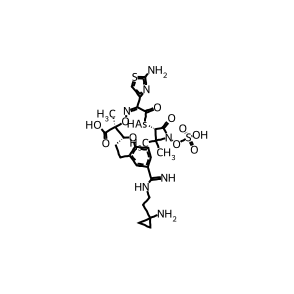 CC1(C)[C@H]([AsH]C(=O)/C(=N\O[C@](C)(C(=O)O)[C@H]2CCc3cc(C(=N)NCCC4(N)CC4)ccc3O2)c2csc(N)n2)C(=O)N1OS(=O)(=O)O